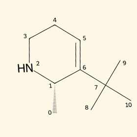 C[C@@H]1NCCC=C1C(C)(C)C